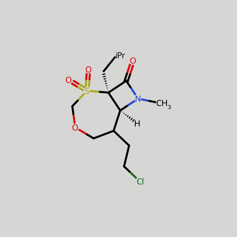 CC(C)C[C@]12C(=O)N(C)[C@H]1C(CCCl)COCS2(=O)=O